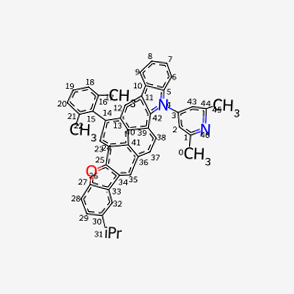 Cc1cc(-n2c3ccccc3c3cc4c(-c5c(C)cccc5C)cc5c6oc7ccc(C(C)C)cc7c6cc6ccc(c4c65)c32)cc(C)n1